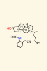 CC(C)CCCC(C)[C@H]1CC[C@H]2[C@@H]3CC=C4C[C@@H](O)CC[C@]4(C)[C@H]3CC[C@]12C.N#CCc1ccccc1NC=O